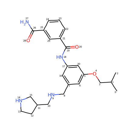 CC(C)COc1cc(CNCC2CCNC2)cc(NC(=O)c2cccc(C(N)=O)c2)c1